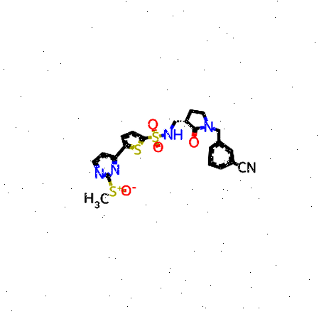 C[S+]([O-])c1nccc(-c2ccc(S(=O)(=O)NC[C@@H]3CCN(Cc4cccc(C#N)c4)C3=O)s2)n1